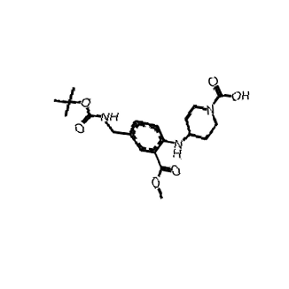 COC(=O)c1cc(CNC(=O)OC(C)(C)C)ccc1NC1CCN(C(=O)O)CC1